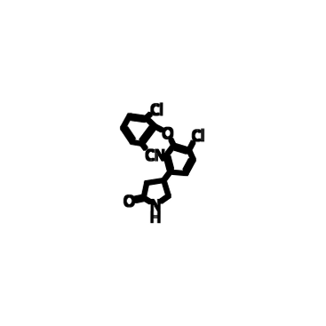 N#Cc1cccc(Cl)c1Oc1cc(C2CNC(=O)C2)ccc1Cl